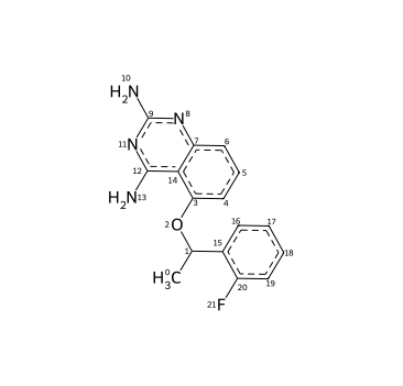 CC(Oc1cccc2nc(N)nc(N)c12)c1ccccc1F